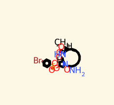 CCOC(=O)[C@@]12C[C@H]1/C=C\CCCCC[C@H](N)C(=O)N1C[C@@H](OS(=O)(=O)c3ccc(Br)cc3)C[C@H]1C(=O)N2